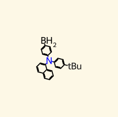 Bc1ccc(N(c2ccc(C(C)(C)C)cc2)c2cccc3ccccc23)cc1